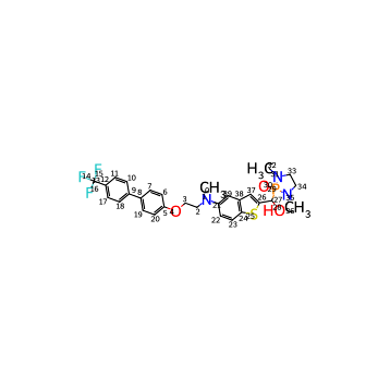 CN(CCOc1ccc(-c2ccc(C(F)(F)F)cc2)cc1)c1ccc2sc(C(O)P3(=O)N(C)CCN3C)cc2c1